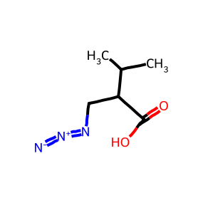 CC(C)C(CN=[N+]=[N-])C(=O)O